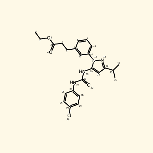 CCOC(=O)CCc1cccc(-n2nc(C(C)C)cc2NC(=O)Nc2ccc(Cl)cc2)c1